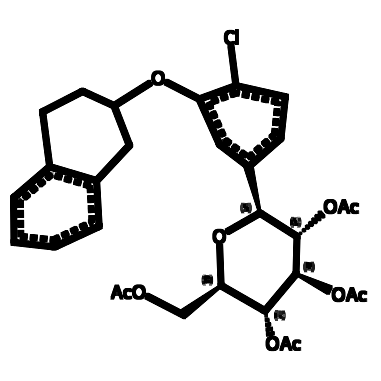 CC(=O)OC[C@H]1O[C@@H](c2ccc(Cl)c(OC3CCc4ccccc4C3)c2)[C@H](OC(C)=O)[C@@H](OC(C)=O)[C@@H]1OC(C)=O